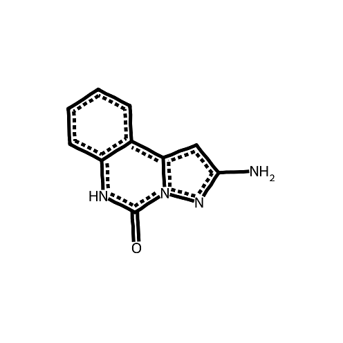 Nc1cc2c3ccccc3[nH]c(=O)n2n1